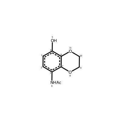 CC(=O)Nc1ccc(O)c2c1OCCO2